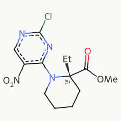 CC[C@@]1(C(=O)OC)CCCCN1c1nc(Cl)ncc1[N+](=O)[O-]